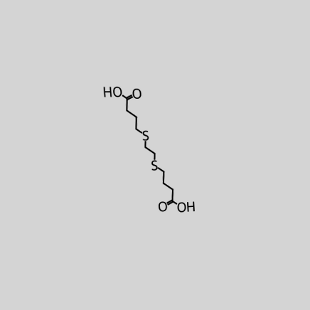 O=C(O)CCCSCCSCCCC(=O)O